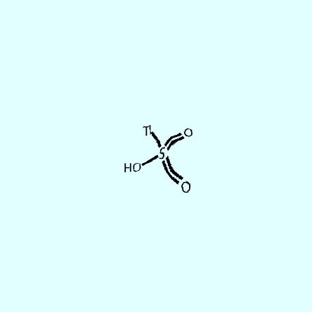 O=[S](=O)(O)[Tl]